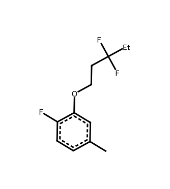 CCC(F)(F)CCOc1cc(C)ccc1F